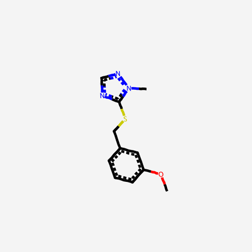 COc1cccc(CSc2ncnn2C)c1